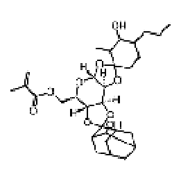 C=C(C)C(=O)OC[C@H]1O[C@@H]2OC3(CCC(CCC)C(O)C3C)O[C@H]2[C@H]2OC3(O[C@@H]21)C1CC2CC(C1)C(O)C3C2